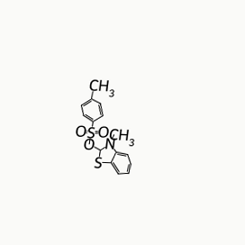 Cc1ccc(S(=O)(=O)OC2Sc3ccccc3N2C)cc1